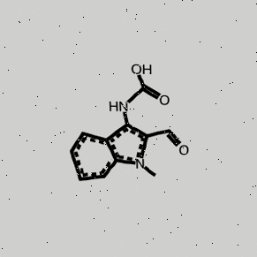 Cn1c(C=O)c(NC(=O)O)c2ccccc21